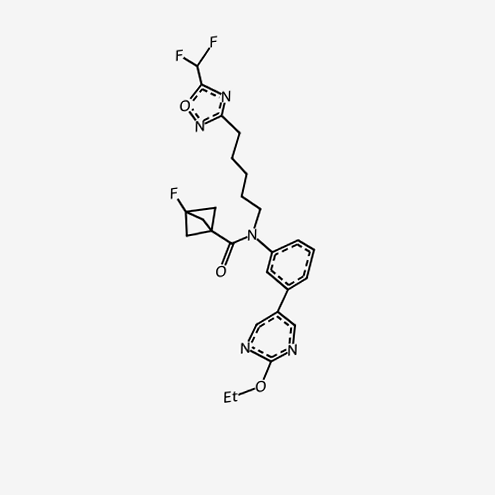 CCOc1ncc(-c2cccc(N(CCCCCc3noc(C(F)F)n3)C(=O)C34CC(F)(C3)C4)c2)cn1